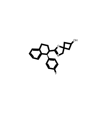 OC1CC2(CN=C(C3CCc4ccccc4[C@@H]3c3ccc(F)cc3)O2)C1